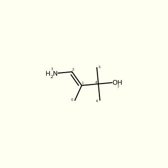 C/C(=C\N)C(C)(C)O